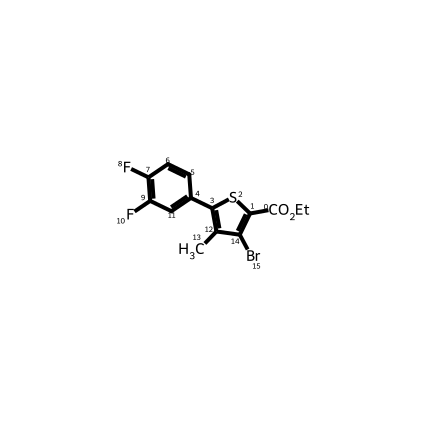 CCOC(=O)c1sc(-c2ccc(F)c(F)c2)c(C)c1Br